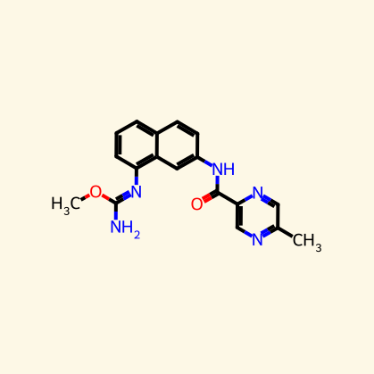 CO/C(N)=N\c1cccc2ccc(NC(=O)c3cnc(C)cn3)cc12